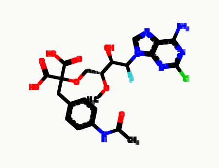 CO[C@H](COC(Cc1ccc(NC(C)=O)cc1)(C(=O)O)C(=O)O)[C@@H](O)[C@H](F)n1cnc2c(N)nc(Cl)nc21